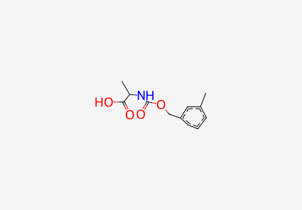 Cc1cccc(COC(=O)NC(C)C(=O)O)c1